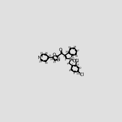 O=C(C1=C[N+](Cl)(Cc2ccc(Cl)cc2Cl)c2ccccc21)c1ncc(-c2ccncc2)o1